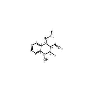 CON=C1c2ccccc2C(O)N(C)C1C=O